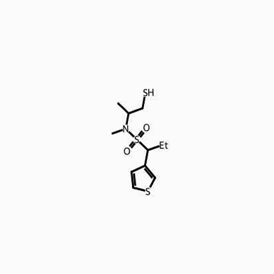 CCC(c1ccsc1)S(=O)(=O)N(C)C(C)CS